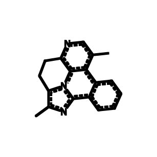 Cc1nc2c3ccccc3c3c(C)cnc4c3n2c1CC4